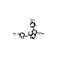 COc1cc(-c2ccc(O)nn2)cc2c(NCc3ccc(C)nn3)ncnc12